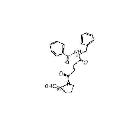 O=C[C@@H]1CCCN1C(=O)CCC(=O)[C@H](Cc1ccccc1)NC(=O)c1ccccc1